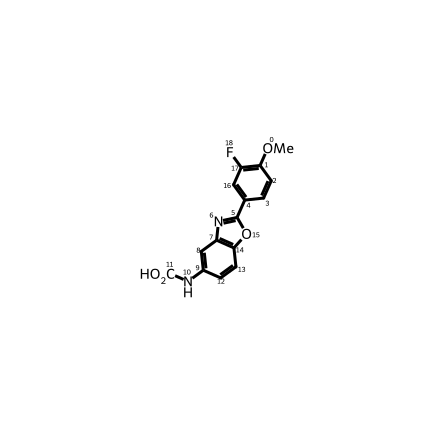 COc1ccc(-c2nc3cc(NC(=O)O)ccc3o2)cc1F